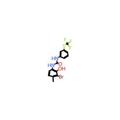 Cc1ccc(NC(=O)Nc2cccc(SC(F)(F)F)c2)c(O)c1Br